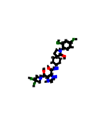 O=C(N[C@H]1CC[C@@]2(CCN(c3ccc(F)cc3Cl)C2=O)CC1)c1[nH]cnc1C(=O)N1CC(F)(F)C1